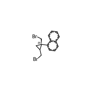 BrCC1C[C@]1(CBr)c1cccc2ccccc12